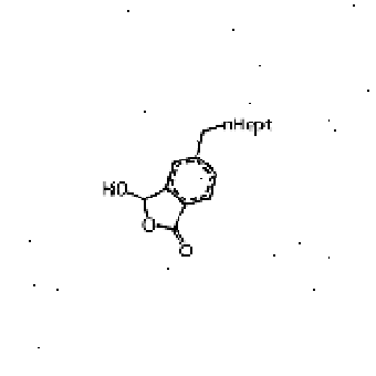 CCCCCCCCc1ccc2c(c1)C(O)OC2=O